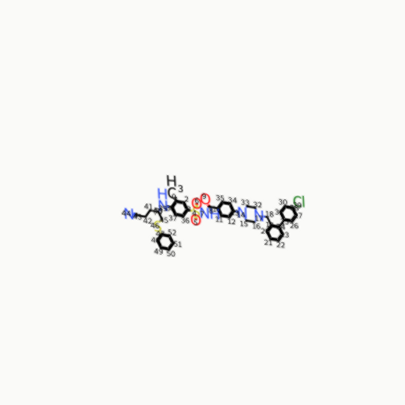 Cc1cc(S(=O)(=O)NC(=O)c2ccc(N3CCN(Cc4ccccc4-c4ccc(Cl)cc4)CC3)cc2)ccc1N[C@H](CCC#N)CSc1ccccc1